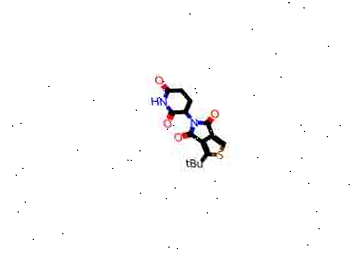 CC(C)(C)c1scc2c1C(=O)N(C1CCC(=O)NC1=O)C2=O